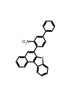 O=[N+]([O-])c1cc(-c2ccccc2)ccc1-c1cc2ccccc2c2c1sc1ccccc12